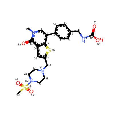 Cn1cc(-c2ccc(CNC(=O)O)cc2)c2sc(CN3CCN(S(C)(=O)=O)CC3)cc2c1=O